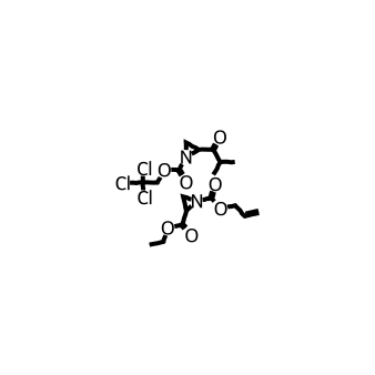 C=CCOC(=O)N1CC1C(=O)OCC.CC(C)C(=O)C1CN1C(=O)OCC(Cl)(Cl)Cl